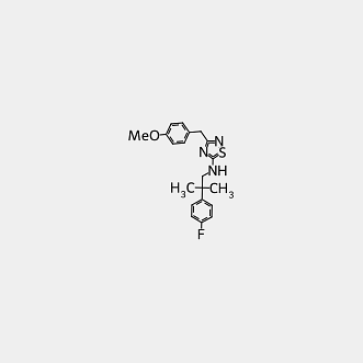 COc1ccc(Cc2nsc(NCC(C)(C)c3ccc(F)cc3)n2)cc1